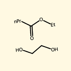 CCCC(=O)OCC.OCCO